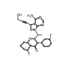 CC(c1oc2cccc(F)c2c(=O)c1-c1cccc(F)c1)n1nc(C#CCO)c2c(N)ncnc21